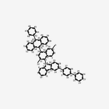 Cc1ccc2c(-n3c4ccccc4c4cc(-c5ccc(-c6ccccc6)cc5)ccc43)c(C)cc(-c3c4ccccc4c(-c4ccccc4)c4ccccc34)c2c1